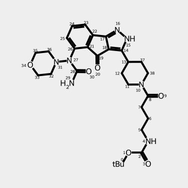 CC(C)(C)OC(=O)NCCCC(=O)N1CCC(c2[nH]nc3c2C(=O)c2c-3cccc2N(C(N)=O)N2CCOCC2)CC1